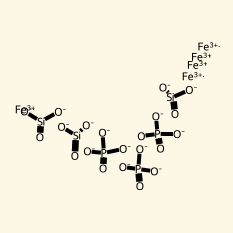 O=P([O-])([O-])[O-].O=P([O-])([O-])[O-].O=P([O-])([O-])[O-].O=[Si]([O-])[O-].O=[Si]([O-])[O-].O=[Si]([O-])[O-].[Fe+3].[Fe+3].[Fe+3].[Fe+3].[Fe+3]